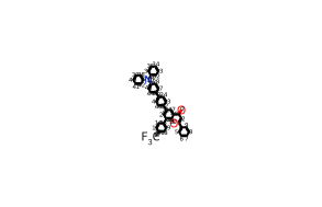 O=c1cc(-c2ccccc2)oc2c(-c3ccc(C(F)(F)F)cc3)cc(-c3ccc(-c4ccc(N(c5ccccc5)c5ccccc5)cc4)cc3)cc12